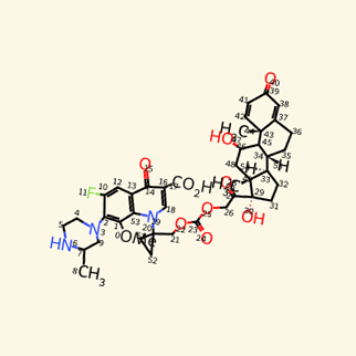 COc1c(N2CCNC(C)C2)c(F)cc2c(=O)c(C(=O)O)cn(C3(COC(=O)OCC(=O)[C@]4(O)CC[C@@H]5[C@H]6CCC7=CC(=O)C=C[C@@]7(C)C6[C@H](O)C[C@]54C)CC3)c12